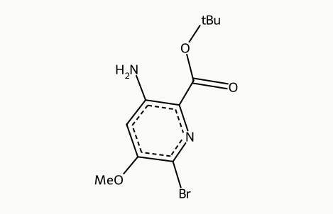 COc1cc(N)c(C(=O)OC(C)(C)C)nc1Br